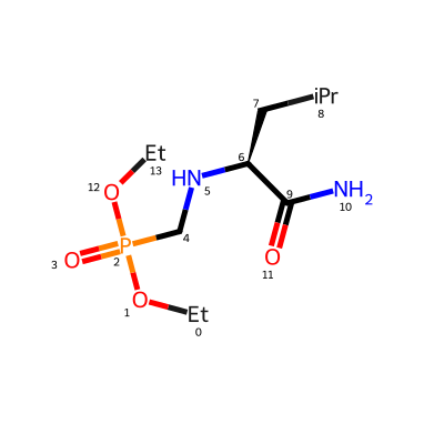 CCOP(=O)(CN[C@@H](CC(C)C)C(N)=O)OCC